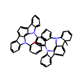 CC12CC=CC=C1N(c1ccccc1)c1c2ccc2c3ccccc3n(-c3ccc(-n4c5ccccc5c5ccc6c7ccccc7n(-c7ccccc7)c6c54)cc3)c12